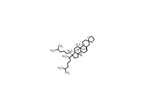 CC(C)CCCO[C@@]1([C@H](C)CCCC(C)C)CC[C@H]2[C@@H]3CC=C4CC5(CC[C@]4(C)[C@H]3CC[C@@]21C)OCCO5